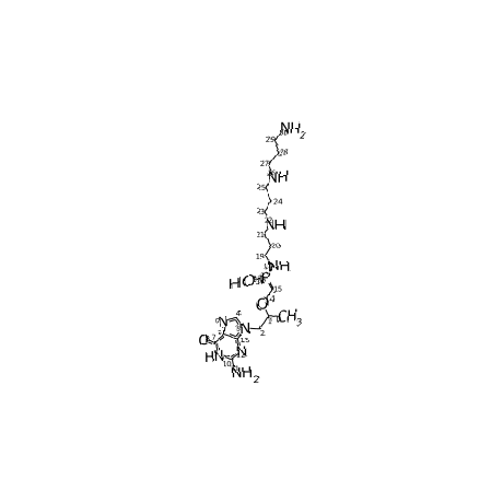 CC(Cn1cnc2c(=O)[nH]c(N)nc21)OCP(O)NCCCNCCCNCCCN